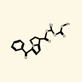 CCC(OC(=O)OC(C)C)OC(=O)C1CCn2c(C(=O)c3ccccc3)ccc21